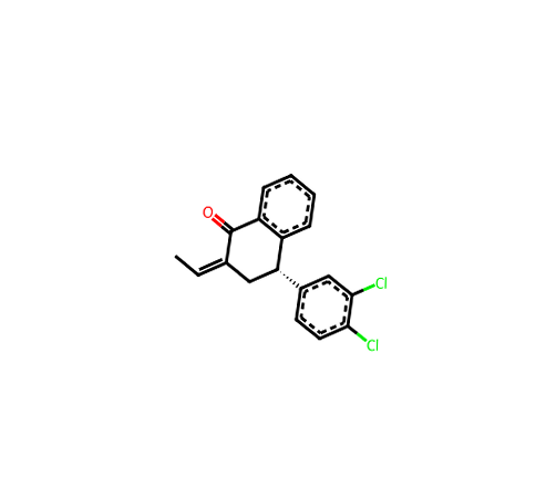 CC=C1C[C@@H](c2ccc(Cl)c(Cl)c2)c2ccccc2C1=O